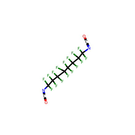 O=C=NC(F)(F)C(F)(F)C(F)(F)C(F)(F)C(F)(F)C(F)(F)C(F)(F)C(F)(F)N=C=O